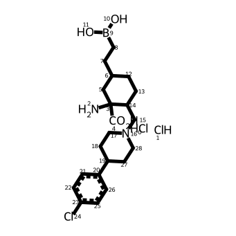 Cl.Cl.NC1(C(=O)O)CC(CCB(O)O)CCC1CN1CCC(c2ccc(Cl)cc2)CC1